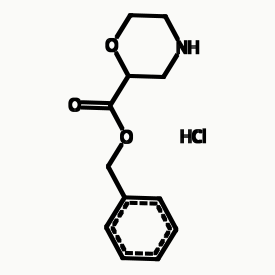 Cl.O=C(OCc1ccccc1)C1CNCCO1